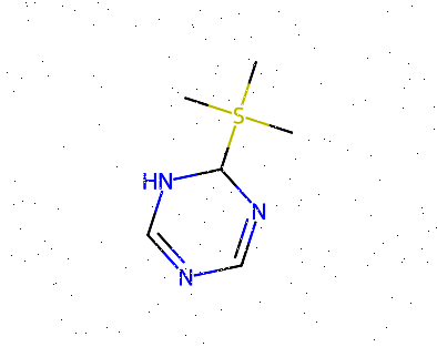 CS(C)(C)C1N=CN=CN1